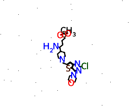 CS(=O)(=O)CCCC(N)C1CCN(Cc2cc3nc(Cl)nc(N4CCOCC4)c3s2)CC1